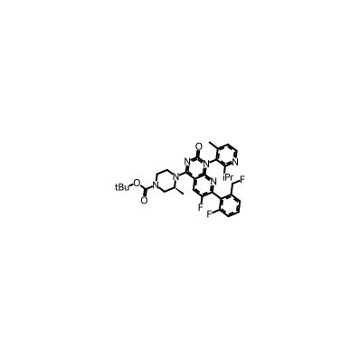 Cc1ccnc(C(C)C)c1-n1c(=O)nc(N2CCN(C(=O)OC(C)(C)C)C[C@@H]2C)c2cc(F)c(-c3c(F)cccc3CF)nc21